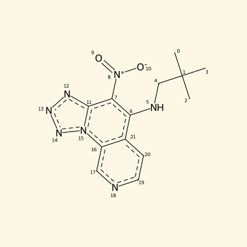 CC(C)(C)CNc1c([N+](=O)[O-])c2nnnn2c2cnccc12